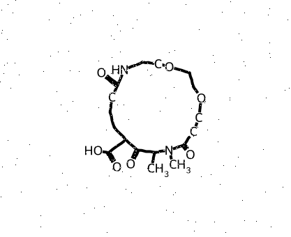 CC1C(=O)C(C(=O)O)CCCC(=O)NCCOCCOCCC(=O)N1C